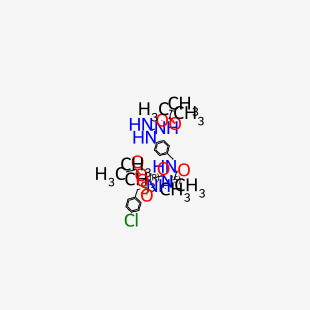 C[C@@H](C(=O)NCc1ccc(NC(=N)NOC(=O)C(C)(C)C)cc1)N(C)C(=O)[C@@H](COC(=O)C(C)(C)C)NS(=O)(=O)Cc1ccc(Cl)cc1